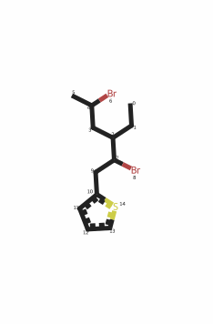 CCC(CC(C)Br)C(Br)Cc1cccs1